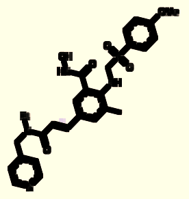 CCN(Cc1ccncc1)C(=O)/C=C/c1cc(C)c(NCS(=O)(=O)c2ccc(OC)cc2)c(C(=O)NO)c1